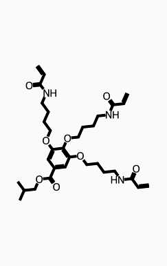 C=CC(=O)NCCCCOc1cc(C(=O)OCC(C)C)cc(OCCCCNC(=O)C=C)c1OCCCCNC(=O)C=C